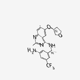 Cc1nc(N[C@H](C)c2cc(N)cc(C(F)(F)F)c2)c2cc(O[C@H]3CCOC3)[c]cc2n1